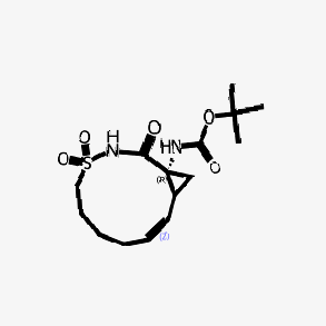 CC(C)(C)OC(=O)N[C@]12CC1/C=C\CCCCS(=O)(=O)NC2=O